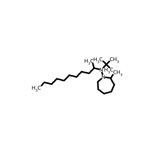 CCCCCCCCCC(C)N(N1CCCCCC1C)C(C)(C)C